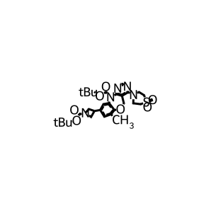 Cc1cc(C2CN(C(=O)OC(C)(C)C)C2)cc2c1OCc1c(N3CCS(=O)(=O)CC3)ncnc1N2C(=O)OC(C)(C)C